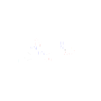 CCOP(=O)(CC(=O)NCCCCC(NC(=O)O)C(=O)NC(CO)Cc1cccc(F)c1)OCC